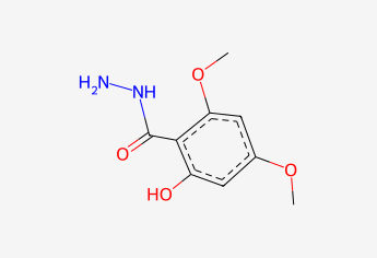 COc1cc(O)c(C(=O)NN)c(OC)c1